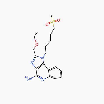 CCOCc1nc2c(N)nc3ccccc3c2n1CCCCCS(C)(=O)=O